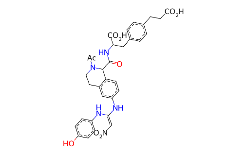 CC(=O)N1CCc2cc(NC(=C[N+](=O)[O-])Nc3ccc(O)cc3)ccc2C1C(=O)NC(Cc1ccc(CCC(=O)O)cc1)C(=O)O